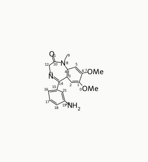 COc1cc2c(cc1OC)N(C)C(=O)CN=C2c1cccc(N)c1